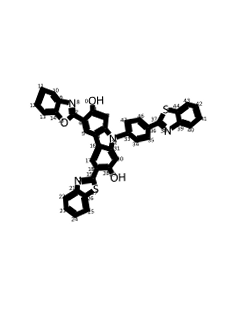 Oc1cc2c(cc1-c1nc3ccccc3o1)c1cc(-c3nc4ccccc4s3)c(O)cc1n2-c1ccc(-c2nc3ccccc3s2)cc1